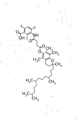 Cc1c(C)c2c(c(C)c1OC(=O)CCC(=O)Nc1c(I)cc(I)c(C(=O)O)c1I)CCC(C)(CCCC(C)CCCC(C)CCCC(C)C)O2